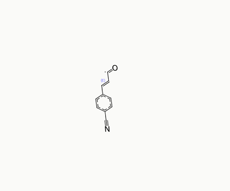 N#Cc1ccc(/C=C/[C]=O)cc1